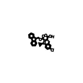 O=C(N[C@@H](Cc1cc(Cl)ccc1OC1CC1)C(=O)O)OCC1c2ccccc2-c2ccccc21